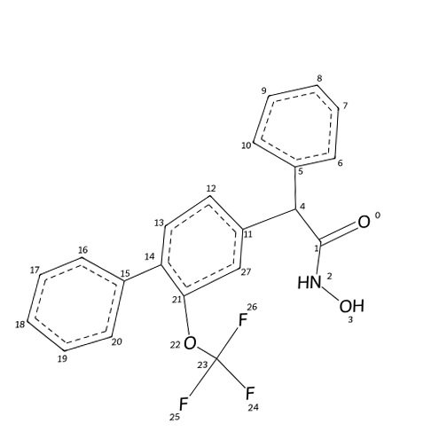 O=C(NO)C(c1ccccc1)c1ccc(-c2ccccc2)c(OC(F)(F)F)c1